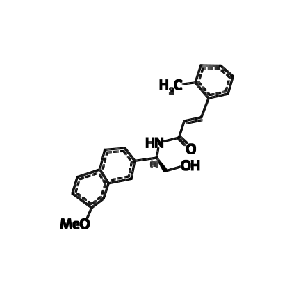 COc1ccc2ccc([C@H](CO)NC(=O)C=Cc3ccccc3C)cc2c1